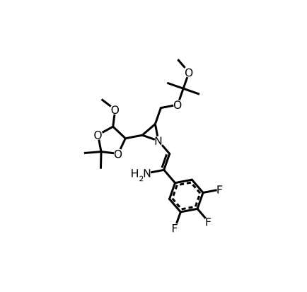 COC1OC(C)(C)OC1C1C(COC(C)(C)OC)N1/C=C(\N)c1cc(F)c(F)c(F)c1